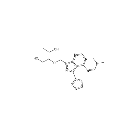 CC(O)C(CO)OCn1nc(-c2ccco2)c2c(/N=C\N(C)C)ncnc21